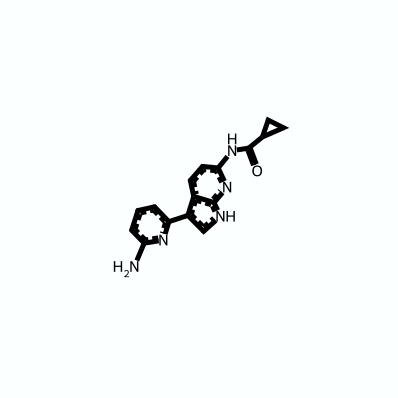 Nc1cccc(-c2c[nH]c3nc(NC(=O)C4CC4)ccc23)n1